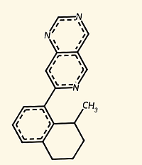 CC1CCCc2cccc(-c3cc4ncncc4cn3)c21